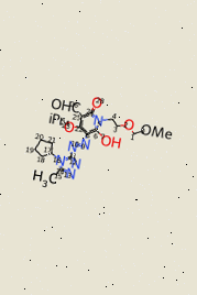 COCOCCn1c(O)c(N=Nc2nnc(C)n2C2CCCC2)c(OC(C)C)c(C=O)c1=O